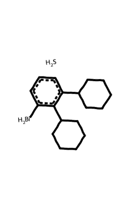 S.[BiH2][c]1cccc(C2CCCCC2)c1C1CCCCC1